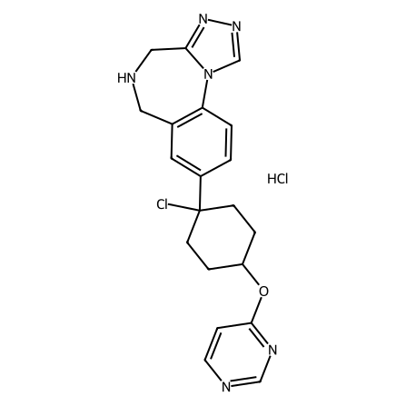 Cl.ClC1(c2ccc3c(c2)CNCc2nncn2-3)CCC(Oc2ccncn2)CC1